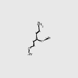 BCCC(CCOC(C)C)OC(C)C